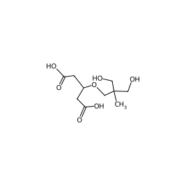 CC(CO)(CO)COC(CC(=O)O)CC(=O)O